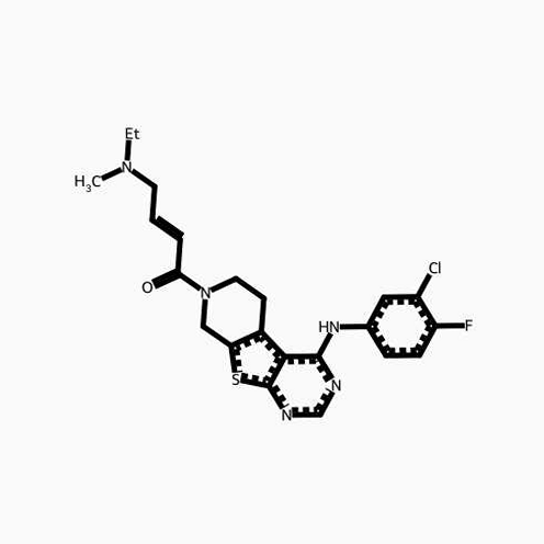 CCN(C)CC=CC(=O)N1CCc2c(sc3ncnc(Nc4ccc(F)c(Cl)c4)c23)C1